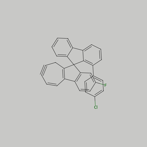 Fc1ccc2c(c1)C1(C3=C2C=CC#CC3)c2ccccc2-c2cccc(-c3ccc(Cl)cc3)c21